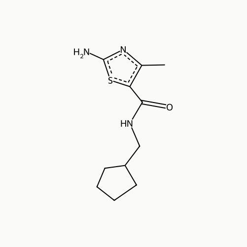 Cc1nc(N)sc1C(=O)NCC1CCCC1